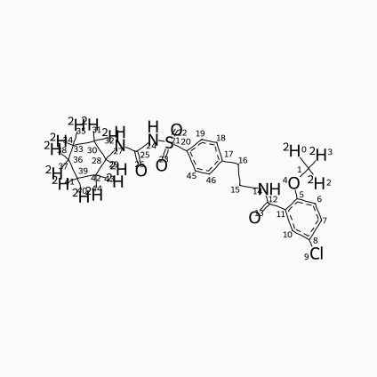 [2H]C([2H])([2H])Oc1ccc(Cl)cc1C(=O)NCCc1ccc(S(=O)(=O)NC(=O)NC2([2H])C([2H])([2H])C([2H])([2H])C([2H])([2H])C([2H])([2H])C2([2H])[2H])cc1